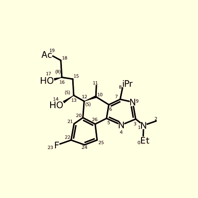 CCN(C)c1nc2c(c(C(C)C)n1)C(C)[C@H]([C@@H](O)C[C@@H](O)CC(C)=O)c1cc(F)ccc1-2